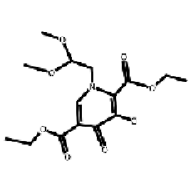 CCOC(=O)c1cn(CC(OC)OC)c(C(=O)OCC)c(Cl)c1=O